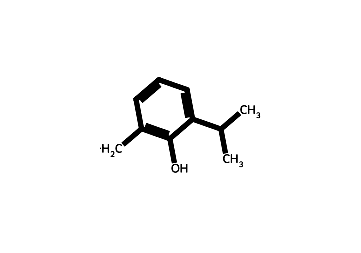 [CH2]c1cccc(C(C)C)c1O